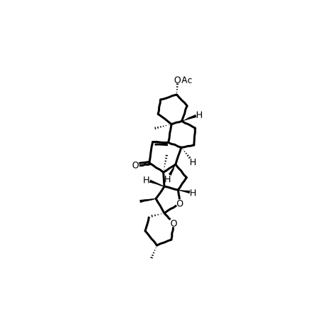 CC(=O)O[C@H]1CC[C@]2(C)C3=CC(=O)[C@]4(C)[C@@H]5[C@H](C[C@H]4[C@@H]3CC[C@H]2C1)O[C@]1(CC[C@@H](C)CO1)[C@H]5C